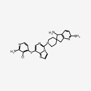 Bc1ccc2c(n1)CC1(CCN(c3ncc(Sc4ccnc(N)c4Cl)c4nccn34)CC1)C2N